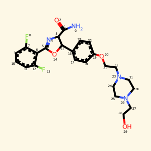 NC(=O)C1N=C(c2c(F)cccc2F)OC1c1ccc(OCCN2CCN(CCO)CC2)cc1